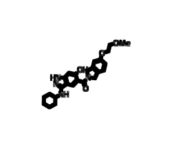 COCCOc1ccc2c(c1)CN(C(=O)c1cc3c(NC4CCCCC4)n[nH]c3cc1O)C2